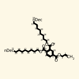 C=CCOC(=O)c1ccc(C(=O)OCCCCCCCCCCCCCCCCCC)c(C(=O)OCCCCCCCCCCCCCCCCCC)c1